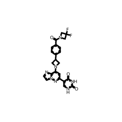 O=C(c1ccc(C2CN(c3cc(-c4c[nH]c(=O)[nH]c4=O)nn4ccnc34)C2)cc1)N1CC(F)(F)C1